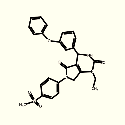 CCN1C(=O)NC(c2cccc(Oc3ccccc3)c2)C2=C1CN(c1ccc(S(C)(=O)=O)cc1)C2=O